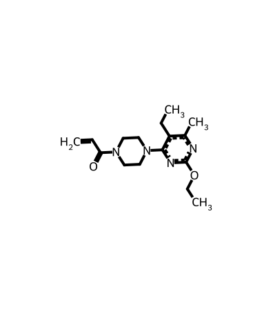 C=CC(=O)N1CCN(c2nc(OCC)nc(C)c2CC)CC1